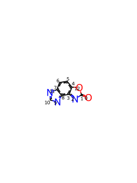 O=C1N=c2c(ccc3c2=NC=N3)O1